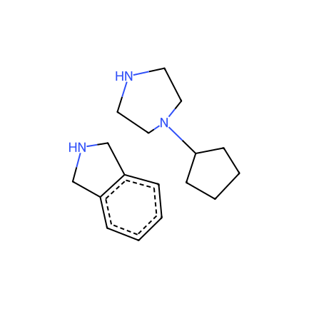 C1CCC(N2CCNCC2)C1.c1ccc2c(c1)CNC2